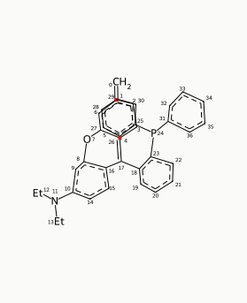 C=c1ccc2c(c1)Oc1cc(N(CC)CC)ccc1C=2c1ccccc1P(c1ccccc1)c1ccccc1